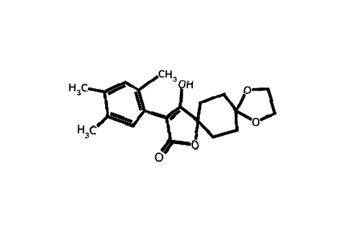 Cc1cc(C)c(C2=C(O)C3(CCC4(CC3)OCCO4)OC2=O)cc1C